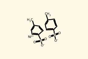 Cc1ccc(S(=O)(=O)[O-])cc1.Cc1ccc(S(=O)(=O)[O-])cc1.[Ni+2]